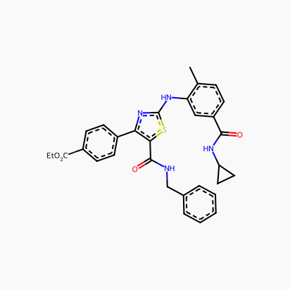 CCOC(=O)c1ccc(-c2nc(Nc3cc(C(=O)NC4CC4)ccc3C)sc2C(=O)NCc2ccccc2)cc1